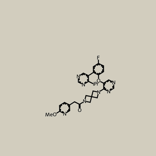 COc1ccc(CC(=O)N2CC3(C2)CN(c2ncncc2Oc2ccc(F)cc2-c2cncnc2C(C)C)C3)cn1